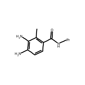 Cc1c(C(=O)NC(C)C)ccc(N)c1N